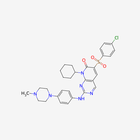 CN1CCN(c2ccc(Nc3ncc4cc(S(=O)(=O)c5ccc(Cl)cc5)c(=O)n(C5CCCCC5)c4n3)cc2)CC1